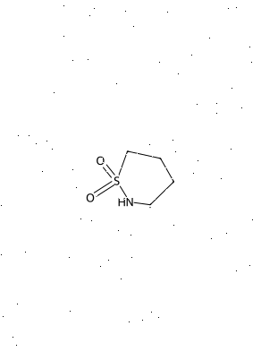 O=S1(=O)CCC[CH]N1